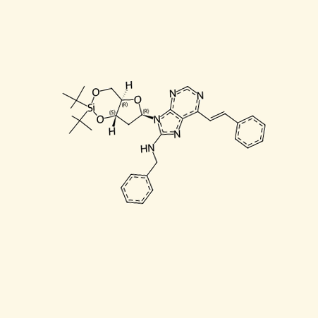 CC(C)(C)[Si]1(C(C)(C)C)OC[C@H]2O[C@@H](n3c(NCc4ccccc4)nc4c(C=Cc5ccccc5)ncnc43)C[C@@H]2O1